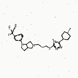 CC1CCC(c2nnc(SCCCN3CC4CCN(c5ccc(C(F)(F)F)cc5)C4C3)n2C)CC1